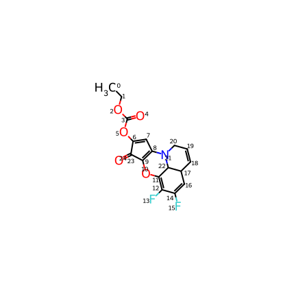 CCOC(=O)OC1=CC2=C(OC3=C(F)C(F)=CC4C=CCN2C34)C1=O